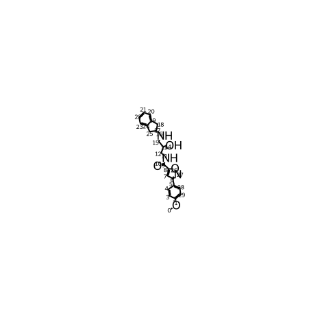 COc1ccc(-c2cc(C(=O)NCC(O)CNC3Cc4ccccc4C3)on2)cc1